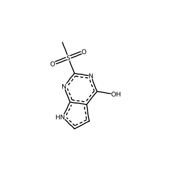 CS(=O)(=O)c1nc(O)c2cc[nH]c2n1